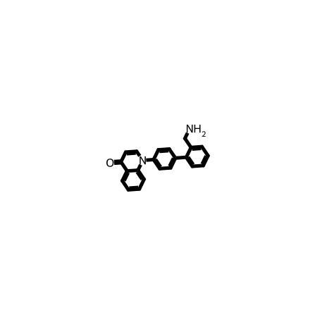 NCc1ccccc1-c1ccc(-n2ccc(=O)c3ccccc32)cc1